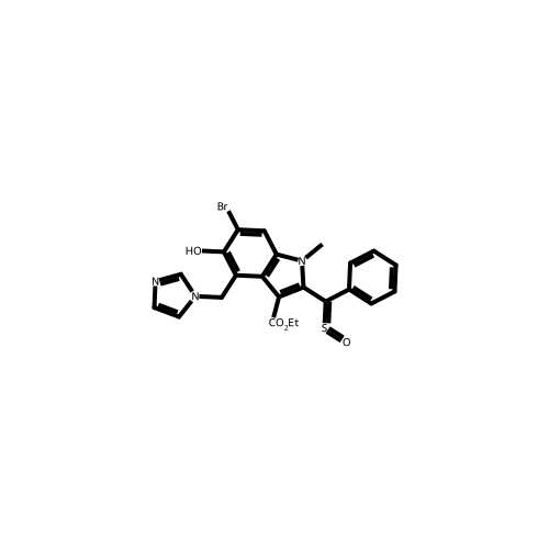 CCOC(=O)c1c(C(=S=O)c2ccccc2)n(C)c2cc(Br)c(O)c(Cn3ccnc3)c12